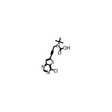 CC(C)(C)N(CC#Cc1cc2ncnc(Cl)c2s1)C(=O)O